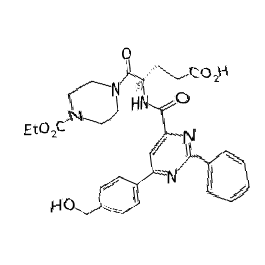 CCOC(=O)N1CCN(C(=O)[C@H](CCC(=O)O)NC(=O)c2cc(-c3ccc(CO)cc3)nc(-c3ccccc3)n2)CC1